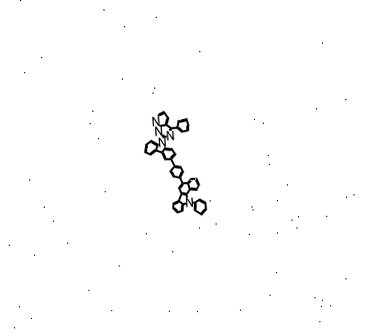 c1ccc(-c2nc(-n3c4ccccc4c4cc(-c5ccc(-c6cc7c8ccccc8n(-c8ccccc8)c7c7ccccc67)cc5)ccc43)nc3ncccc23)cc1